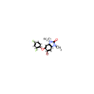 Cn1c(=O)n(C)c2cc(Oc3ccc(F)cc3F)c(Br)cc21